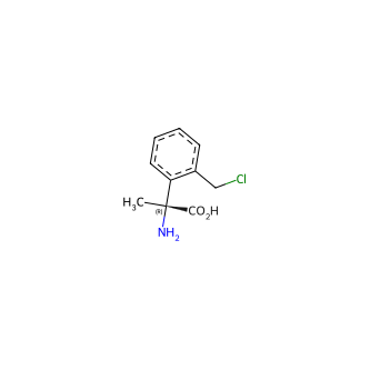 C[C@](N)(C(=O)O)c1ccccc1CCl